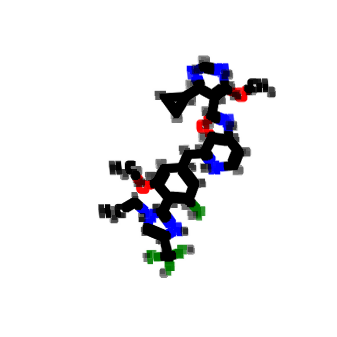 CCn1cc(C(F)(F)F)nc1-c1c(F)cc(Cc2nccc3nc(-c4c(OC)ncnc4C4CC4)oc23)cc1OC